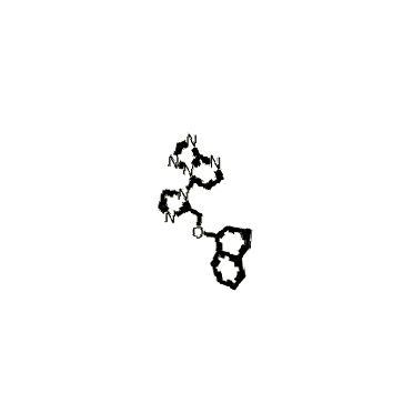 c1ccc2c(OCc3nccn3-c3ccnc4ncnn34)cccc2c1